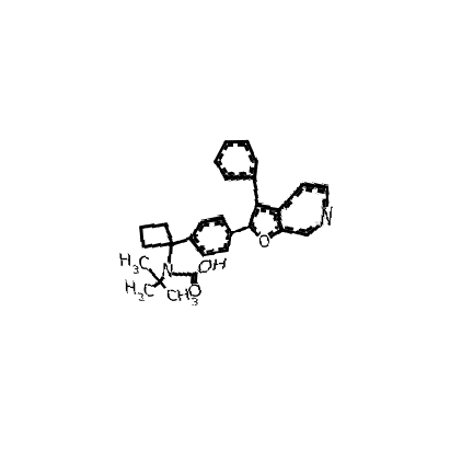 CC(C)(C)N(C(=O)O)C1(c2ccc(-c3oc4cnccc4c3-c3ccccc3)cc2)CCC1